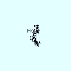 CCN(CC)[C@H](CO[Si](C)(C)C(C)(C)C)[C@@H](O)c1ccc(N2C[C@H](CN=[N+]=[N-])OC2=O)cc1